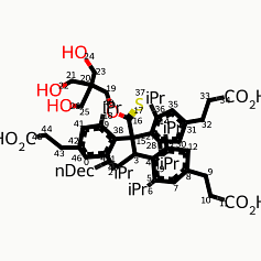 CCCCCCCCCCCCC(c1c(C(C)C)cc(CCC(=O)O)cc1C(C)C)C(C(=S)OCC(CO)(CO)CO)(c1c(C(C)C)cc(CCC(=O)O)cc1C(C)C)c1c(C(C)C)cc(CCC(=O)O)cc1C(C)C